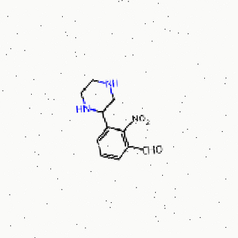 O=Cc1cccc(C2CNCCN2)c1[N+](=O)[O-]